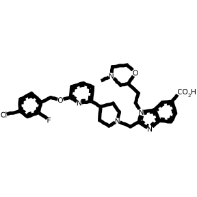 CN1CCOC(CCn2c(CN3CCC(c4cccc(OCc5ccc(Cl)cc5F)n4)CC3)nc3ccc(C(=O)O)cc32)C1